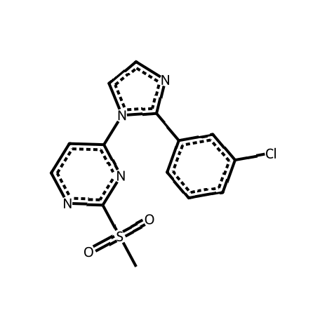 CS(=O)(=O)c1nccc(-n2ccnc2-c2cccc(Cl)c2)n1